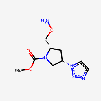 CC(C)(C)OC(=O)N1C[C@@H](n2ccnn2)C[C@H]1CON